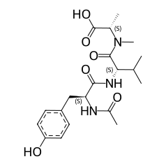 CC(=O)N[C@@H](Cc1ccc(O)cc1)C(=O)N[C@H](C(=O)N(C)[C@@H](C)C(=O)O)C(C)C